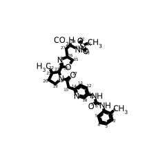 Cc1ccccc1NC(=O)Nc1ccc(CC(=O)N2CCC(C)C2C2=NC(CC(NS(C)(=O)=O)C(=O)O)CO2)nc1